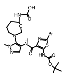 Cn1ncc(NC(=O)c2nc(Br)sc2NC(=O)OC(C)(C)C)c1N1CCCC(NC(=O)O)CC1